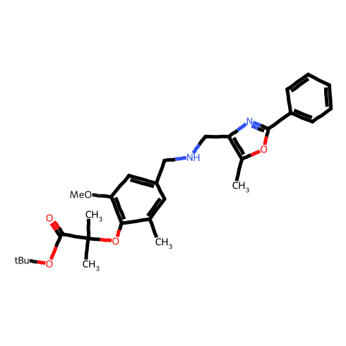 COc1cc(CNCc2nc(-c3ccccc3)oc2C)cc(C)c1OC(C)(C)C(=O)OC(C)(C)C